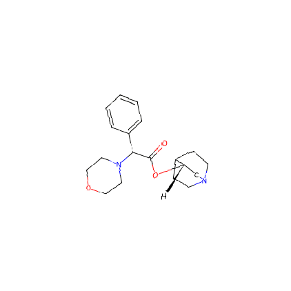 O=C(O[C@H]1CN2CCC1CC2)C(c1ccccc1)N1CCOCC1